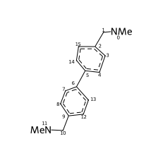 CNCc1ccc(-c2ccc(CNC)cc2)cc1